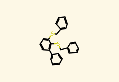 [c]1ccc(SCc2ccccc2)c(SCc2ccccc2)c1-c1ccccc1